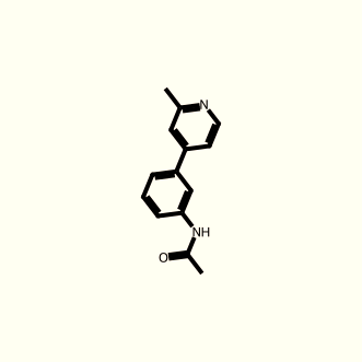 CC(=O)Nc1cccc(-c2ccnc(C)c2)c1